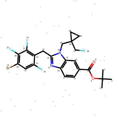 CC(C)(C)OC(=O)c1ccc2nc(Cc3c(F)cc(Br)c(F)c3F)n(CC3(CF)CC3)c2c1